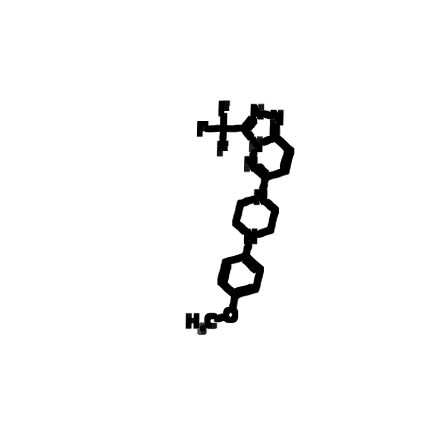 COc1ccc(N2CCN(c3ccc4nnc(C(F)(F)F)n4n3)CC2)cc1